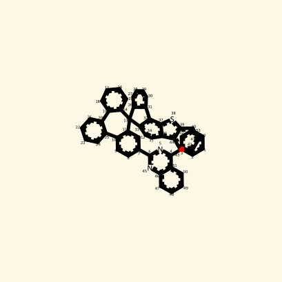 c1ccc(-c2nc(-c3ccc4c(c3)C3(c5ccccc5-c5ccccc5-4)c4ccccc4-c4c3ccc3c4sc4ccccc43)nc3ccccc23)cc1